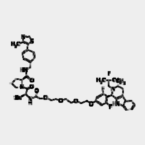 Cc1ncsc1-c1ccc(CNC(=O)[C@@H]2C[CH]CN2C(=O)[C@@H](NC(=O)COCCOCCOCCOc2cc(F)c([C@@H]3c4[nH]c5ccccc5c4C[C@@H](C)N3CC(C)(C)F)c(F)c2)C(C)(C)C)cc1